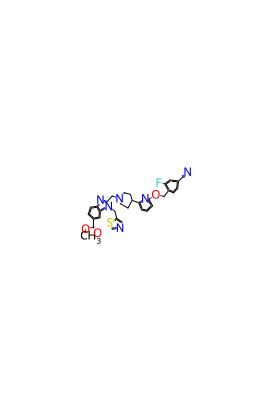 COC(=O)c1ccc2nc(CN3CCC(c4cccc(OCc5ccc(C#N)cc5F)n4)CC3)n(Cc3cncs3)c2c1